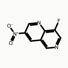 O=[N+]([O-])c1cnc2c(F)cncc2c1